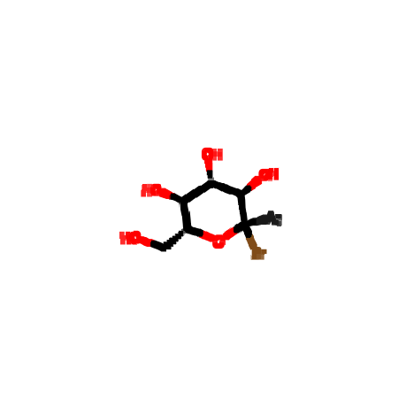 CC(=O)[C@@]1(Br)O[C@H](CO)[C@@H](O)[C@H](O)[C@H]1O